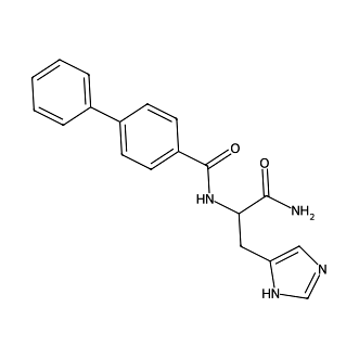 NC(=O)C(Cc1cnc[nH]1)NC(=O)c1ccc(-c2ccccc2)cc1